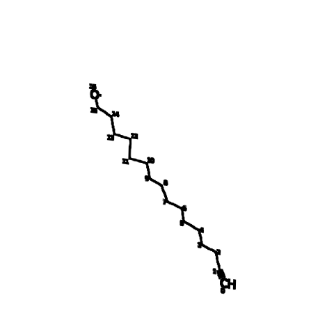 C#CCCCCCCCCCCCCCC[O]